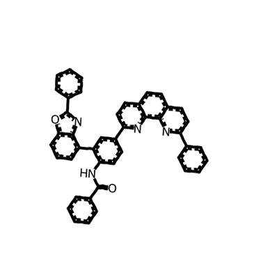 O=C(Nc1ccc(-c2ccc3ccc4ccc(-c5ccccc5)nc4c3n2)cc1-c1cccc2oc(-c3ccccc3)nc12)c1ccccc1